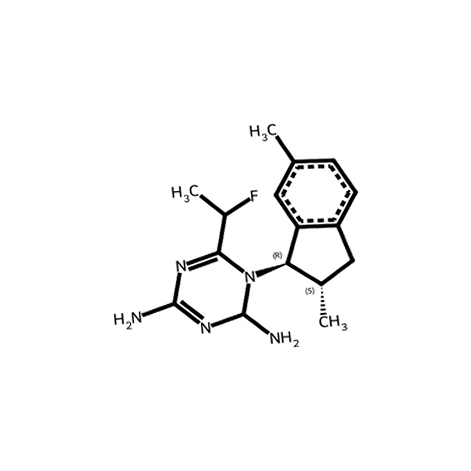 Cc1ccc2c(c1)[C@H](N1C(C(C)F)=NC(N)=NC1N)[C@@H](C)C2